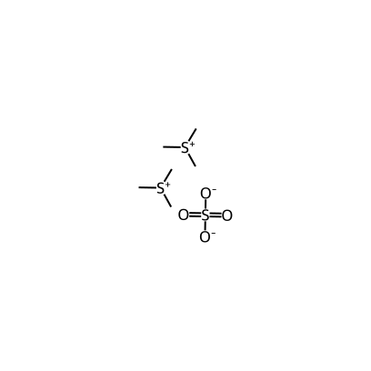 C[S+](C)C.C[S+](C)C.O=S(=O)([O-])[O-]